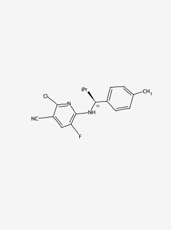 Cc1ccc([C@@H](Nc2nc(Cl)c(C#N)cc2F)C(C)C)cc1